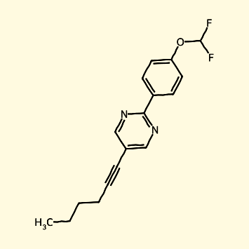 CCCCC#Cc1cnc(-c2ccc(OC(F)F)cc2)nc1